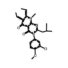 C/C=c1/c(=O)c2c(=O)n(-c3ccc(OC)c(Cl)c3)c(CC(C)C)nc2n(C)/c1=C/C